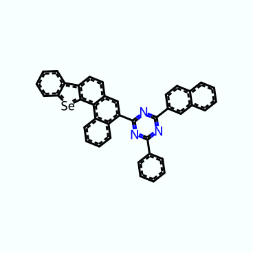 c1ccc(-c2nc(-c3ccc4ccccc4c3)nc(-c3cc4ccc5c6ccccc6[se]c5c4c4ccccc34)n2)cc1